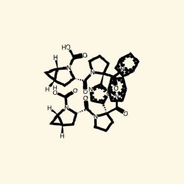 O=C(O)N1[C@H](C(=O)N2CCC[C@@]2(C(=O)n2c3ccc2cc3)c2cnc([C@]3(C(=O)n4c5ccc4cc5)CCCN3C(=O)[C@@H]3C[C@@H]4C[C@@H]4N3C(=O)O)o2)C[C@@H]2C[C@@H]21